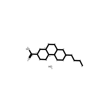 CCCCC1CCC2C(CCC3CC(C(=O)O)CCC32)C1.Cl